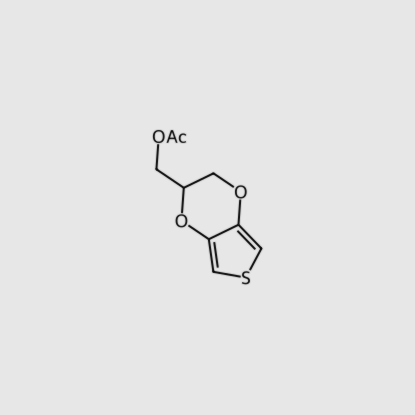 CC(=O)OCC1COc2cscc2O1